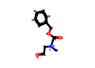 C[N+](CC=O)C(=O)OCc1ccccc1